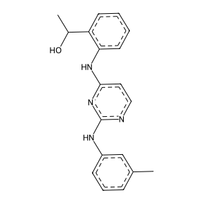 Cc1cccc(Nc2nccc(Nc3ccccc3C(C)O)n2)c1